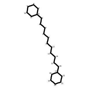 C(CCCCCC1CCCCC1)CCCCCC1CCCCC1